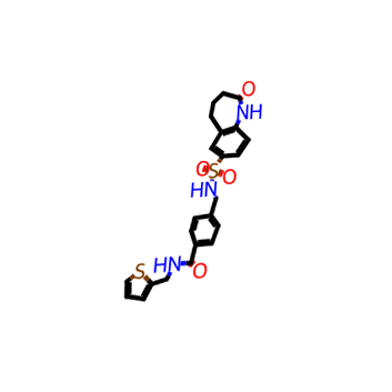 O=C1CCCc2cc(S(=O)(=O)NCc3ccc(C(=O)NCc4cccs4)cc3)ccc2N1